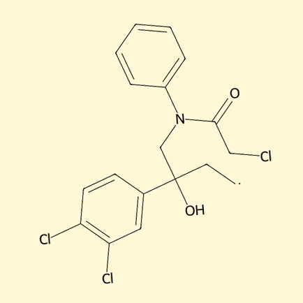 [CH2]CC(O)(CN(C(=O)CCl)c1ccccc1)c1ccc(Cl)c(Cl)c1